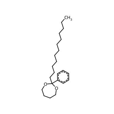 CCCCCCCCCCCCC1(c2ccccc2)OCCCCO1